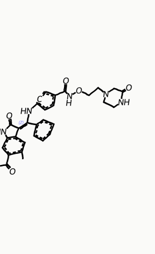 COC(=O)c1cc2c(cc1C)/C(=C(/Nc1ccc(C(=O)NOCCN3CCNC(=O)C3)cc1)c1ccccc1)C(=O)N2